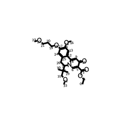 CCOC(=O)c1cn2c(cc1=O)-c1cc(OC)c(OCCCOC)cc1CC2C(C)(C)COC